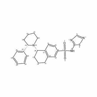 O=S(=O)(Nc1ncns1)c1ccc2c(c1)CCC[C@@H]2N1CCCC[C@H]1c1ccccc1